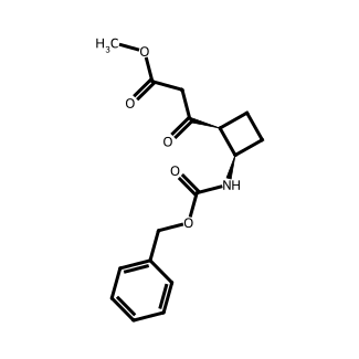 COC(=O)CC(=O)[C@H]1CC[C@H]1NC(=O)OCc1ccccc1